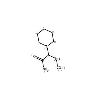 NC(=O)C(NC(=O)O)N1CCCCC1